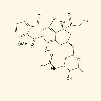 COc1cccc2c1C(=O)c1c(O)c3c(c(O)c1C2=O)[C@](O)(C(=O)CO)C[C@@H](OC1CC(NC([O])=O)C(O)C(C)O1)C3